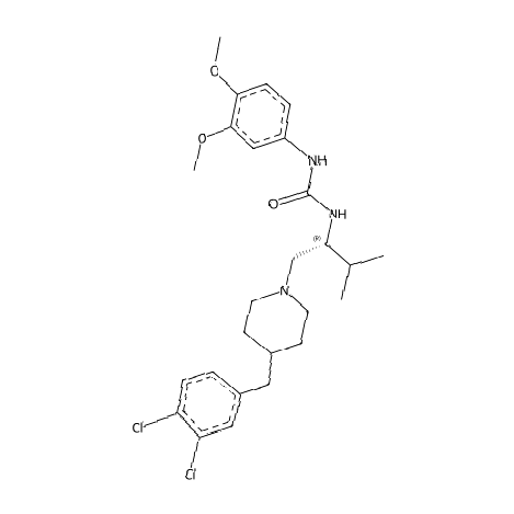 COc1ccc(NC(=O)N[C@@H](CN2CCC(Cc3ccc(Cl)c(Cl)c3)CC2)C(C)C)cc1OC